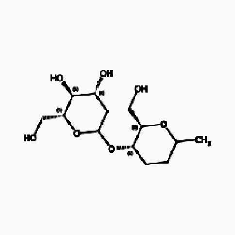 CC1CC[C@H](OC2C[C@@H](O)[C@H](O)[C@@H](CO)O2)[C@@H](CO)O1